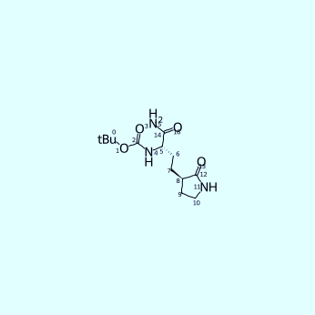 CC(C)(C)OC(=O)N[C@@H](CC[C@@H]1CCNC1=O)C(N)=O